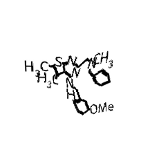 COc1cccc(CNc2nc(CN(C)Cc3ccccc3)nc3sc(C)c(C)c23)c1